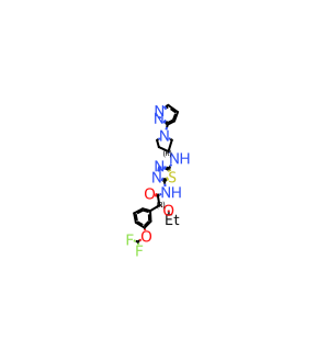 CCO[C@@H](C(=O)Nc1nnc(N[C@@H]2CCN(c3cccnn3)C2)s1)c1cccc(OC(F)F)c1